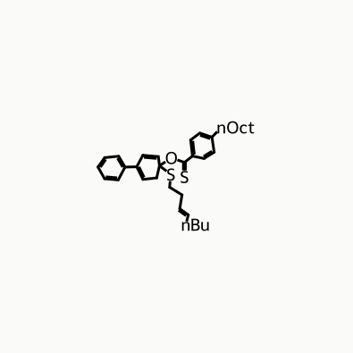 CCCCC=CCCSC1(OC(=S)c2ccc(CCCCCCCC)cc2)C=CC(c2ccccc2)=CC1